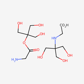 NCC(=O)OC(CO)(CO)CO.O=C(O)CNC(CO)(CO)CO